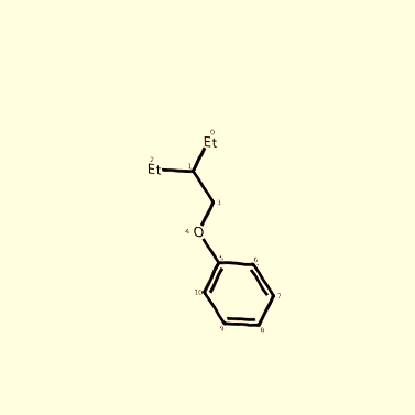 CCC(CC)COc1[c]cccc1